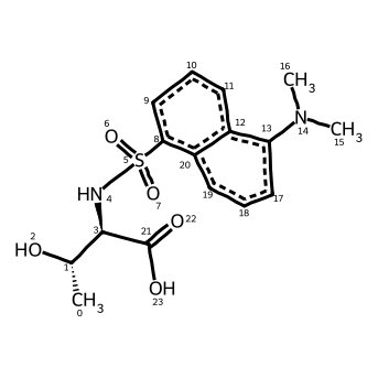 C[C@H](O)[C@@H](NS(=O)(=O)c1cccc2c(N(C)C)cccc12)C(=O)O